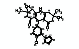 CC1(C)CC(=O)C2=C(C1)NC1=C(C(=O)CC(C)(C)C1)C2c1ccc(Cl)c(-n2cccc2)c1